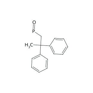 CC(CP=O)(c1ccccc1)c1ccccc1